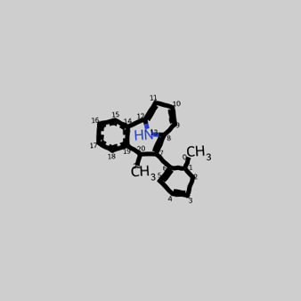 CC1CC=CC=C1C1=C2C=CC=C(N2)c2ccccc2C1C